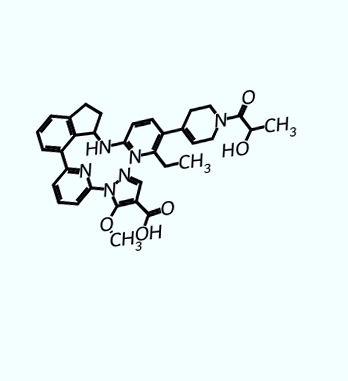 CCc1nc(NC2CCc3cccc(-c4cccc(-n5ncc(C(=O)O)c5OC)n4)c32)ccc1C1=CCN(C(=O)C(C)O)CC1